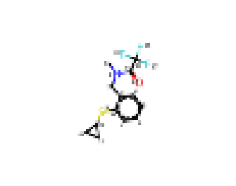 CN(Cc1ccccc1SC1CC1)C(=O)C(F)(F)F